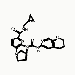 O=C(NCC1CC1)c1ccc2c(n1)N(C(=O)Nc1cc3c(cn1)OCCC3)C1CCN2C1